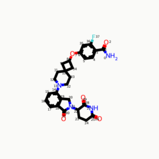 NC(=O)c1ccc(OC2CC3(CCN(c4cccc5c4CN(C4CCC(=O)NC4=O)C5=O)CC3)C2)cc1F